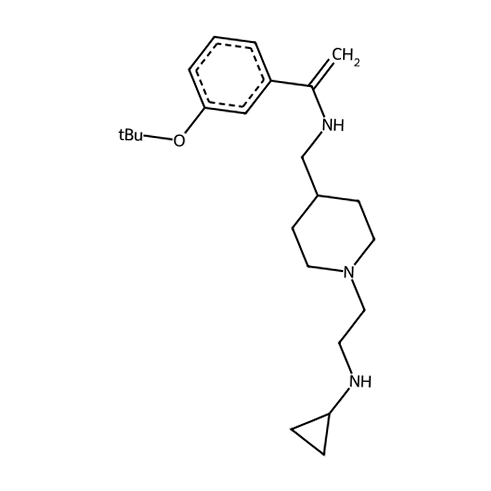 C=C(NCC1CCN(CCNC2CC2)CC1)c1cccc(OC(C)(C)C)c1